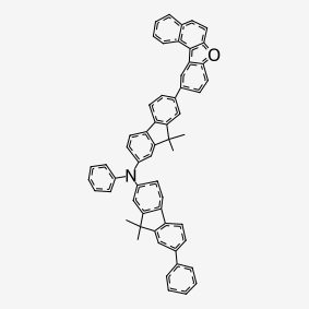 CC1(C)c2cc(-c3ccccc3)ccc2-c2ccc(N(c3ccccc3)c3ccc4c(c3)C(C)(C)c3cc(-c5ccc6oc7ccc8ccccc8c7c6c5)ccc3-4)cc21